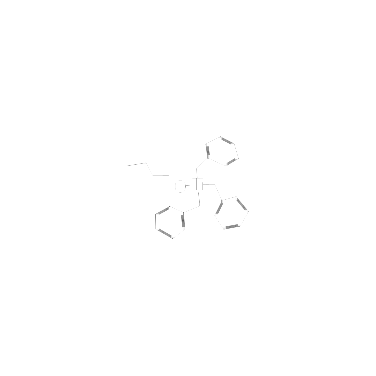 CCCC[O][Ti]([CH2]c1ccccc1)([CH2]c1ccccc1)[CH2]c1ccccc1